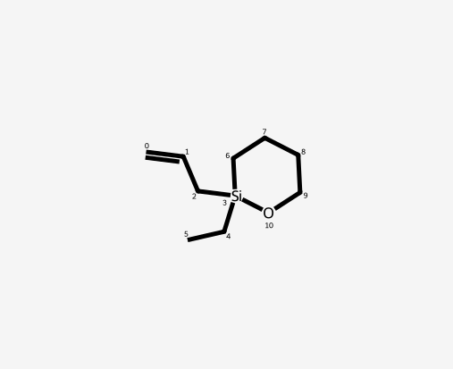 C=CC[Si]1(CC)CCCCO1